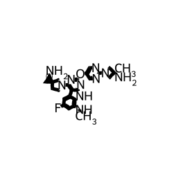 CNc1cc(F)cc2c1[nH]c1nc(Oc3cnc(N4CC(C)(N)C4)nc3)nc(N3CCC4(C[C@H]4N)C3)c12